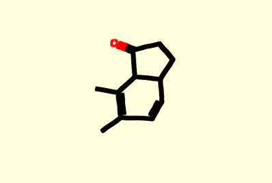 CC1=C(C)C2C(=O)CCC2C=C1